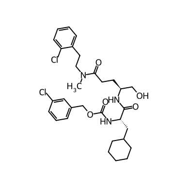 CN(CCc1ccccc1Cl)C(=O)CC[C@@H](CO)NC(=O)[C@H](CC1CCCCC1)NC(=O)OCc1cccc(Cl)c1